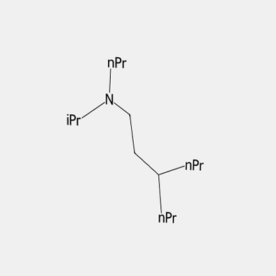 CCCC(CCC)CCN(CCC)C(C)C